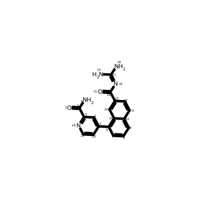 NC(=O)c1cc(-c2cccc3ccc(C(=O)N=C(N)N)cc23)ccn1